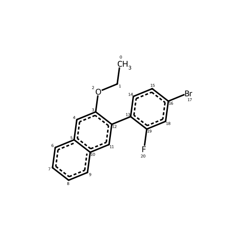 CCOc1cc2ccccc2cc1-c1ccc(Br)cc1F